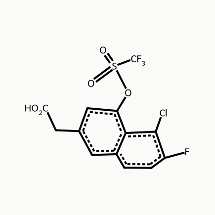 O=C(O)Cc1cc(OS(=O)(=O)C(F)(F)F)c2c(Cl)c(F)ccc2c1